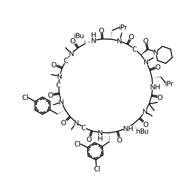 CCCC[C@@H]1NC(=O)[C@H](Cc2cc(Cl)cc(Cl)c2)NC(=O)CN(C)C(=O)[C@H](Cc2ccc(Cl)cc2)N(C)C(=O)CN(C)C(=O)CN(C)C(=O)[C@H]([C@@H](C)CC)NC(=O)[C@H](CC(C)C)N(C)C(=O)C[C@@H](C(=O)N2CCCCC2)N(C)C(=O)[C@H](CC(C)C)NC(=O)C(C)(C)N(C)C1=O